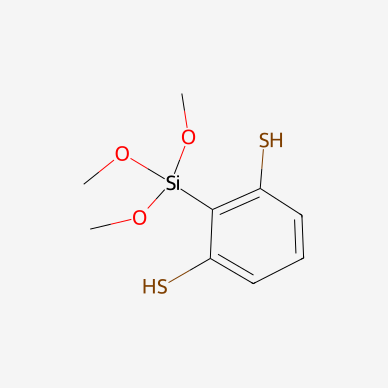 CO[Si](OC)(OC)c1c(S)cccc1S